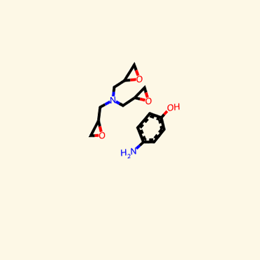 C1OC1CN(CC1CO1)CC1CO1.Nc1ccc(O)cc1